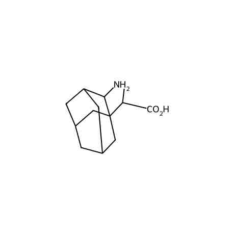 CC(C(=O)O)C12CC3CC(CC(C3)C1N)C2